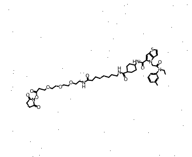 CCN(C(=O)Cn1c(C(=O)NC2CCC(C(=O)NCCCCCCCC(=O)NCCOCCOCCOCCC(=O)ON3C(=O)CCC3=O)CC2)cc2sccc21)c1cccc(C)c1